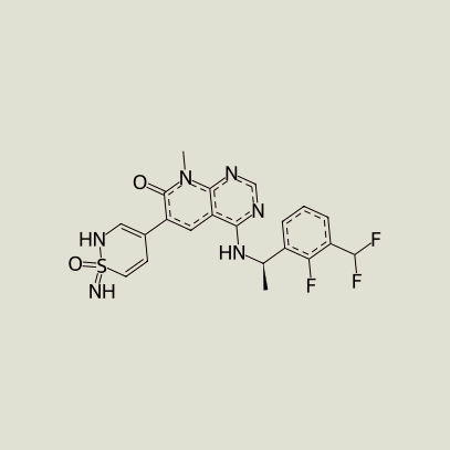 C[C@@H](Nc1ncnc2c1cc(C1=CNS(=N)(=O)C=C1)c(=O)n2C)c1cccc(C(F)F)c1F